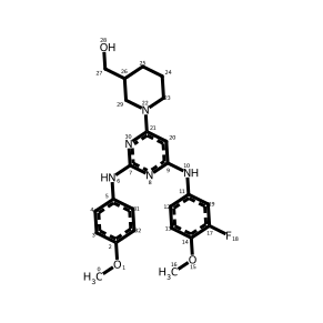 COc1ccc(Nc2nc(Nc3ccc(OC)c(F)c3)cc(N3CCCC(CO)C3)n2)cc1